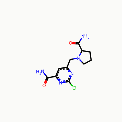 NC(=O)c1cc(CN2CCCC2C(N)=O)nc(Cl)n1